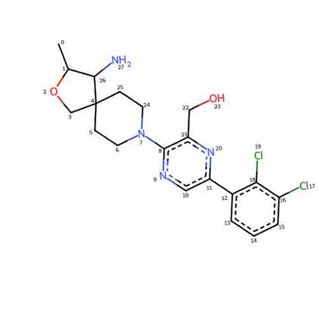 CC1OCC2(CCN(c3ncc(-c4cccc(Cl)c4Cl)nc3CO)CC2)C1N